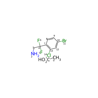 CC(=O)O.NCC(F)(F)c1ccc(Br)cc1Cl